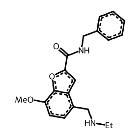 CCNCc1ccc(OC)c2oc(C(=O)NCc3ccccc3)cc12